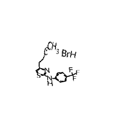 Br.CCCCc1csc(Nc2ccc(C(F)(F)F)cc2)n1